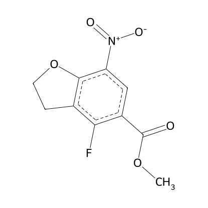 COC(=O)c1cc([N+](=O)[O-])c2c(c1F)CCO2